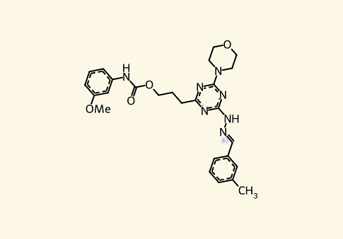 COc1cccc(NC(=O)OCCCc2nc(N/N=C/c3cccc(C)c3)nc(N3CCOCC3)n2)c1